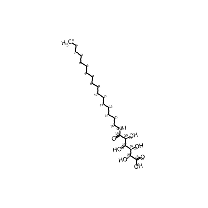 CCCCCCCCCCCCCCCCCNC(=O)[C@@H](O)[C@H](O)[C@@H](O)[C@@H](O)C(=O)O